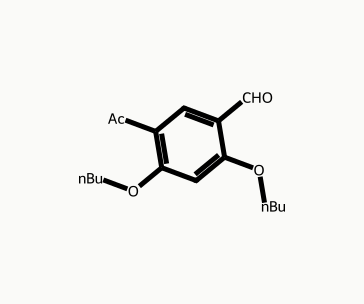 CCCCOc1cc(OCCCC)c(C(C)=O)cc1C=O